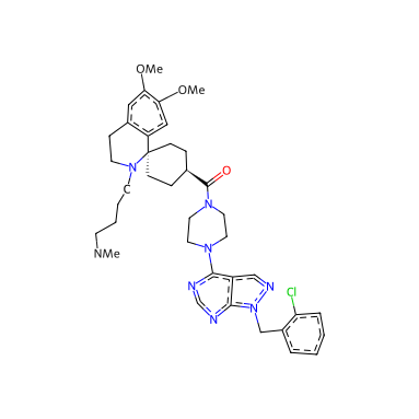 CNCCCCN1CCc2cc(OC)c(OC)cc2[C@]12CC[C@H](C(=O)N1CCN(c3ncnc4c3cnn4Cc3ccccc3Cl)CC1)CC2